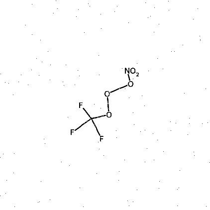 O=[N+]([O-])OOOC(F)(F)F